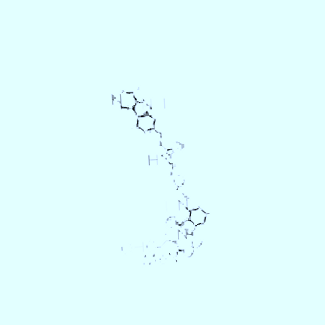 CNC(=O)C(CCC=O)N1C(=O)c2cccc(NCCOCCNC(=O)CCc3ccc4c(c3)[nH]c3ccncc34)c2C1=O